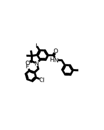 Cc1cccc(CNC(=O)c2cc(I)c3c(c2)N(Cc2c(F)cccc2Cl)C(=O)C3(C)C)c1